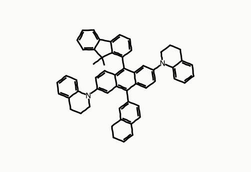 CC1(C)c2ccccc2-c2cccc(-c3c4ccc(N5CCCc6ccccc65)cc4c(-c4ccc5c(c4)CCC=C5)c4ccc(N5CCCc6ccccc65)cc34)c21